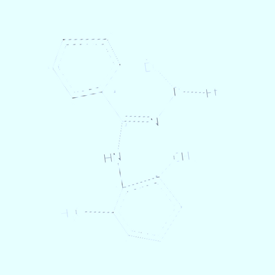 CCP(CC)N=C(Nc1c(C)cccc1C)c1ccccc1